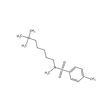 Cc1ccc(S(=O)(=O)N(C)CCCCC[N+](C)(C)C)cc1